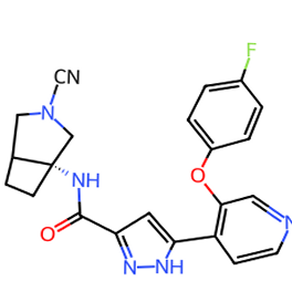 N#CN1CC2CC[C@]2(NC(=O)c2cc(-c3ccncc3Oc3ccc(F)cc3)[nH]n2)C1